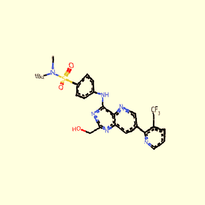 CN(C(C)(C)C)S(=O)(=O)c1ccc(Nc2nc(CO)nc3cc(-c4ncccc4C(F)(F)F)cnc23)cc1